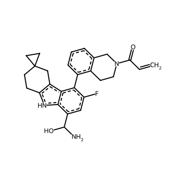 C=CC(=O)N1CCc2c(cccc2-c2c(F)cc(C(N)O)c3[nH]c4c(c23)CC2(CC4)CC2)C1